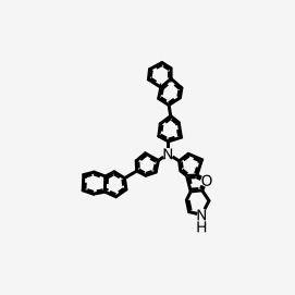 C1=Cc2c(oc3ccc(N(c4ccc(-c5ccc6ccccc6c5)cc4)c4ccc(-c5ccc6ccccc6c5)cc4)cc23)CN1